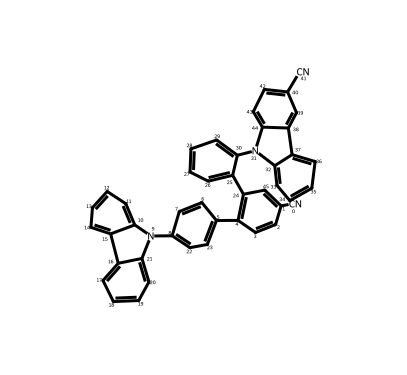 N#Cc1ccc(-c2ccc(-n3c4ccccc4c4ccccc43)cc2)c(-c2ccccc2-n2c3ccccc3c3cc(C#N)ccc32)c1